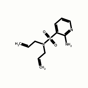 C=CCN(CC=C)S(=O)(=O)c1cccnc1N